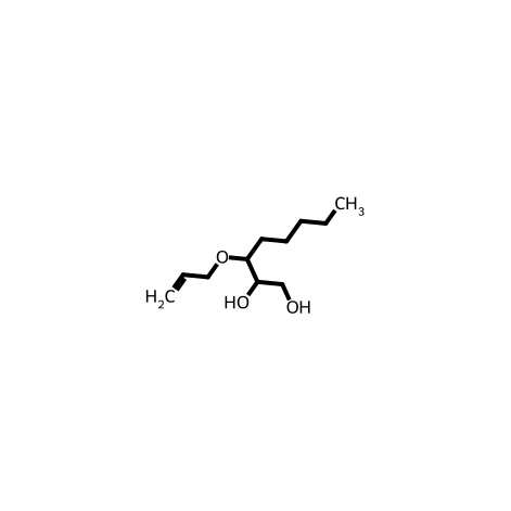 C=CCOC(CCCCC)C(O)CO